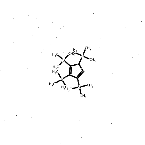 C[Si](C)(C)C1=[C]C([Si](C)(C)C)C([Si](C)(C)C)=C1[Si](C)(C)C